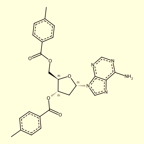 Cc1ccc(C(=O)OC[C@H]2O[C@H](n3cnc4c(N)ncnc43)C[C@@H]2OC(=O)c2ccc(C)cc2)cc1